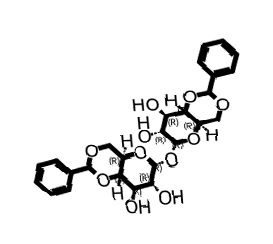 O[C@@H]1[C@@H](O)[C@@H](O[C@H]2O[C@@H]3COC(c4ccccc4)O[C@H]3[C@H](O)[C@H]2O)O[C@@H]2COC(c3ccccc3)O[C@@H]12